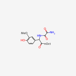 CCCCCCCCC(=O)C(NC(=O)C(N)=O)c1ccc(O)c(OC)c1